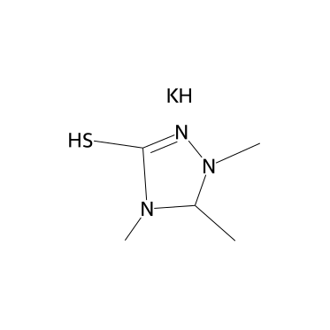 CC1N(C)N=C(S)N1C.[KH]